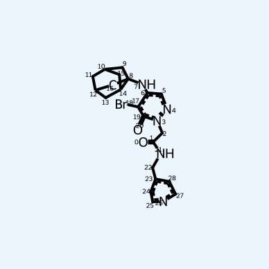 O=C(Cn1ncc(NC23CC4CC(CC2C4)C3)c(Br)c1=O)NCc1ccncc1